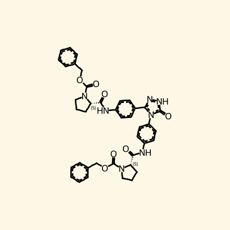 O=C(Nc1ccc(-c2n[nH]c(=O)n2-c2ccc(NC(=O)[C@@H]3CCCN3C(=O)OCc3ccccc3)cc2)cc1)[C@@H]1CCCN1C(=O)OCc1ccccc1